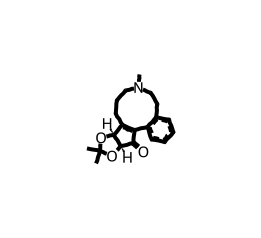 CN1CCCC2=C(C(=O)[C@H]3OC(C)(C)O[C@@H]23)c2ccccc2CC1